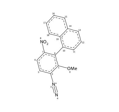 COc1c([N+]#N)ccc([N+](=O)[O-])c1-c1cccc2ccccc12